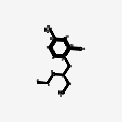 CCO[C@H](CO)Cn1ccc(N)nc1=O